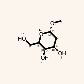 CO[C@@H]1C[C@@H](O)[C@@H](O)C(CO)O1